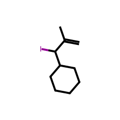 C=C(C)C(I)C1CCCCC1